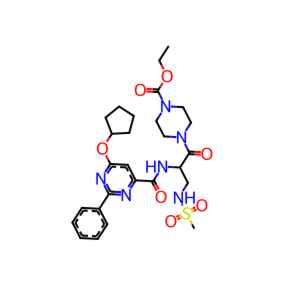 CCOC(=O)N1CCN(C(=O)C(CNS(C)(=O)=O)NC(=O)c2cc(OC3CCCC3)nc(-c3ccccc3)n2)CC1